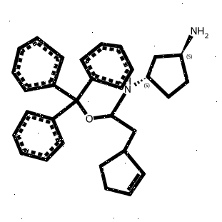 N[C@H]1CC[C@H](NC(CC2C=CCC2)OC(c2ccccc2)(c2ccccc2)c2ccccc2)C1